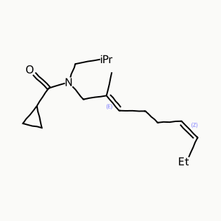 CC/C=C\CC/C=C(\C)CN(CC(C)C)C(=O)C1CC1